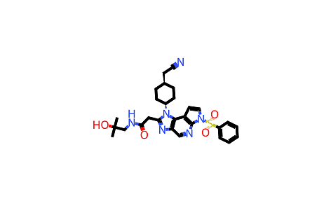 CC(C)(O)CNC(=O)Cc1nc2cnc3c(ccn3S(=O)(=O)c3ccccc3)c2n1[C@H]1CC[C@H](CC#N)CC1